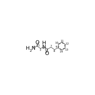 NC(=O)CNC(=O)CCc1ccccc1